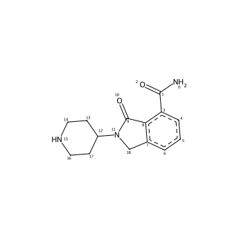 NC(=O)c1cccc2c1C(=O)N(C1CCNCC1)C2